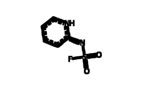 O=S(=O)(F)N=c1cccc[nH]1